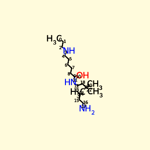 CCCNCCCCC[C@H](O)N[C@@H](CCCCN)CC(C)(C)C